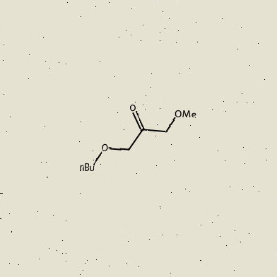 CCCCOCC(=O)COC